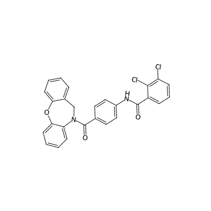 O=C(Nc1ccc(C(=O)N2Cc3ccccc3Oc3ccccc32)cc1)c1cccc(Cl)c1Cl